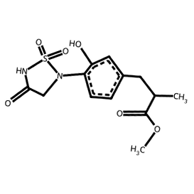 COC(=O)C(C)Cc1ccc(N2CC(=O)NS2(=O)=O)c(O)c1